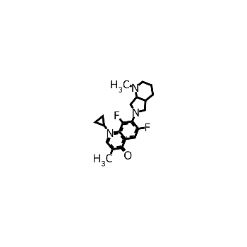 Cc1cn(C2CC2)c2c(F)c(N3CC4CCCN(C)C4C3)c(F)cc2c1=O